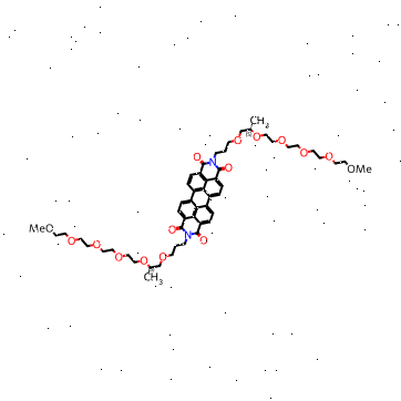 COCCOCCOCCOCCO[C@@H](C)COCCCN1C(=O)c2ccc3c4ccc5c6c(ccc(c7ccc(c2c37)C1=O)c64)C(=O)N(CCCOC[C@H](C)OCCOCCOCCOCCOC)C5=O